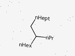 [CH2]CCCCCC(CCC)CCCCCCCC